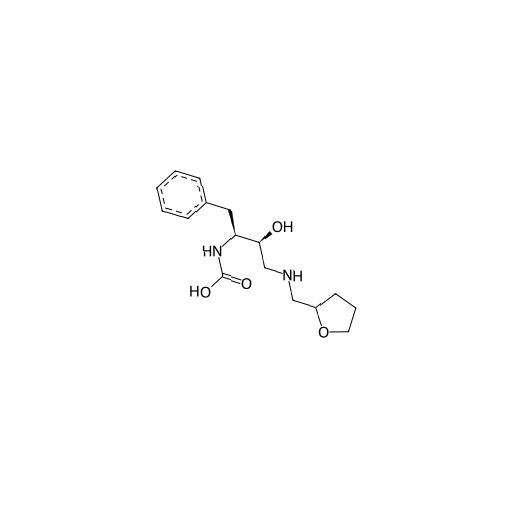 O=C(O)N[C@@H](Cc1ccccc1)[C@@H](O)CNCC1CCCO1